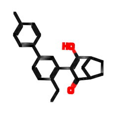 CCc1ccc(-c2ccc(C)cc2)cc1C1=C(O)C2CCC(C2)C1=O